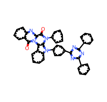 O=c1c2nc3ccccc3c(=O)n2c2c3ccccc3n(-c3ccc(-c4nc(-c5ccccc5)nc(-c5ccccc5)n4)cc3)c2n1-c1ccccc1